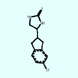 S=C1NCC(C2Cc3ccc(Cl)cc3C2)N1